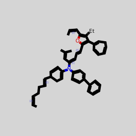 C/C=C\CC/C=C/C1C=CC(N(/C(C=C(C)C)=C/C=C/c2oc(/C=C\C)c(CC)c2C2=CCC=CC=C2)c2ccc(-c3ccccc3)cc2)=CC1